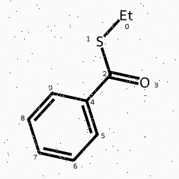 CCSC(=O)c1ccccc1